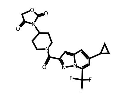 O=C(c1cc2cc(C3CC3)cc(C(F)(F)F)n2n1)N1CCC(N2C(=O)COC2=O)CC1